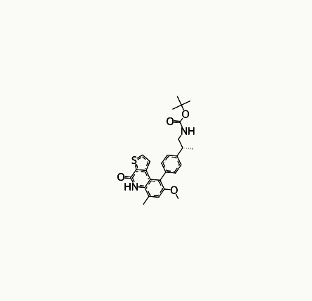 COc1cc(C)c2[nH]c(=O)c3sccc3c2c1-c1ccc([C@@H](C)CNC(=O)OC(C)(C)C)cc1